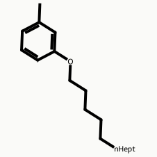 CCCCCCCCCCCCOc1[c]ccc(C)c1